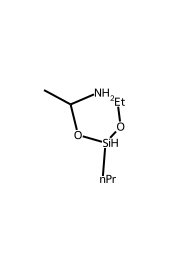 CCC[SiH](OCC)OC(C)N